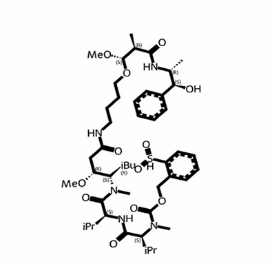 CC[C@H](C)[C@@H]([C@@H](CC(=O)NCCCCO[C@H](OC)[C@@H](C)C(=O)N[C@H](C)[C@@H](O)c1ccccc1)OC)N(C)C(=O)[C@@H](NC(=O)[C@H](C(C)C)N(C)C(=O)OCc1ccccc1[SH](=O)=O)C(C)C